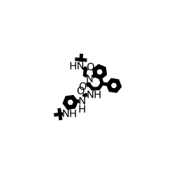 CC(C)(C)NC(=O)CN1C(=O)C(NC(=O)Nc2cccc(NC(C)(C)C)c2)CC(c2ccccc2)c2ccccc21